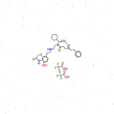 C[C@H](C1CCCCC1)N(CCNCCc1ccc(O)c2c1OCC(=O)N2)C(=O)CCNCCc1ccccc1.O=C(O)C(F)(F)F.O=C(O)C(F)(F)F